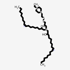 [CH2]CN1CCN(CCSSCCCN(CC(O)CCCCCC/C=C\CCCCCCCC)CC(O)CCCCCC/C=C\CCCCCCCC)CC1